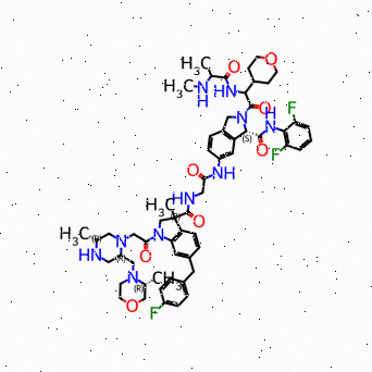 CNC(C)C(=O)NC(C(=O)N1Cc2ccc(NC(=O)CNC(=O)[C@@]3(C)CN(C(=O)CN4C[C@@H](C)NC[C@@H]4CN4CCOC[C@H]4C)c4cc(Cc5ccc(F)cc5)ccc43)cc2[C@H]1C(=O)Nc1c(F)cccc1F)C1CCOCC1